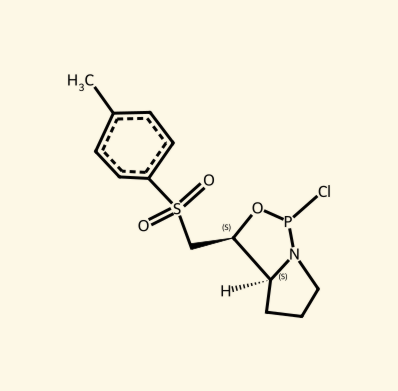 Cc1ccc(S(=O)(=O)C[C@H]2OP(Cl)N3CCC[C@@H]23)cc1